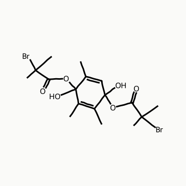 CC1=CC(O)(OC(=O)C(C)(C)Br)C(C)=C(C)C1(O)OC(=O)C(C)(C)Br